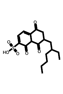 CCCCC(CC)CC1CC(=O)C2=CC=C(S(=O)(=O)O)C(=O)C2C1=O